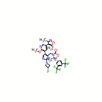 COc1ncc(-c2c(C)noc2C)cc1-c1cnc(N2CC(F)C2)nc1CN1C(=O)O[C@H](c2cc(C(F)(F)F)cc(C(F)(F)F)c2)[C@@H]1C